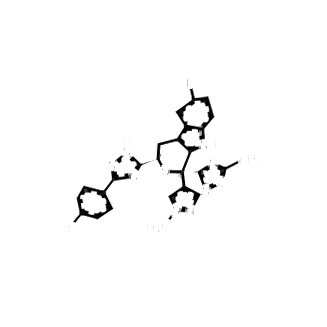 Cc1nc([C@]2(c3cnn(C)c3)N[C@@H](c3nc(-c4ccc(F)cc4)n[nH]3)Cc3c2[nH]c2ccc(F)cc32)no1